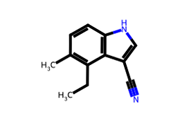 CCc1c(C)ccc2[nH]cc(C#N)c12